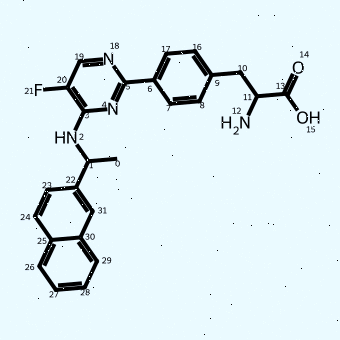 CC(Nc1nc(-c2ccc(CC(N)C(=O)O)cc2)ncc1F)c1ccc2ccccc2c1